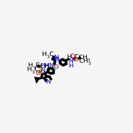 Cc1cc(C(=O)Nc2cc(C(CCC3CC3)(N[S@@+]([O-])C(C)(C)C)c3ccncc3)ccc2F)n(-c2cccc(CNC(=O)OC(C)(C)C)c2)n1